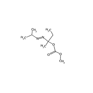 CCC(C)(N=NC(C)C)OC(=O)OC